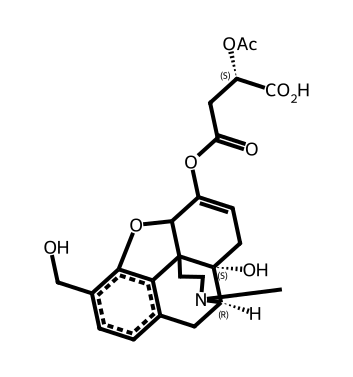 CC(=O)O[C@@H](CC(=O)OC1=CC[C@@]2(O)[C@H]3Cc4ccc(CO)c5c4C2(CCN3C)C1O5)C(=O)O